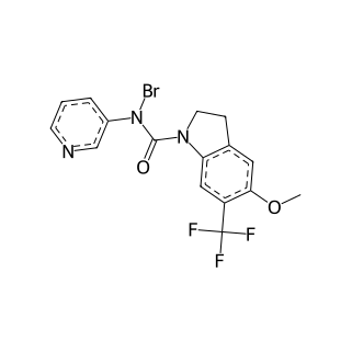 COc1cc2c(cc1C(F)(F)F)N(C(=O)N(Br)c1cccnc1)CC2